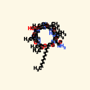 CCCCCCCCCCCC[C@@H]1CC(=O)N[C@@H](CCC(N)=O)C(=O)N[C@@H](CC(C)C)C(=O)N[C@@H](CC(C)C)C(=O)N[C@@H](C(C)C)C(=O)N[C@@H](CC(=O)O)C(=O)N[C@@H](CC(C)C)C(=O)N[C@@H]([C@H](C)CC)C(=O)O1